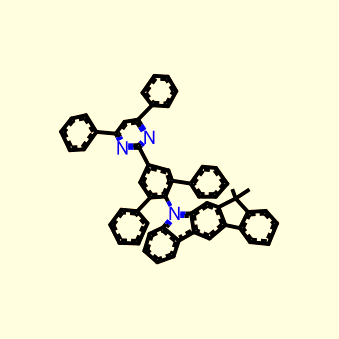 CC1(C)c2ccccc2-c2cc3c4ccccc4n(-c4c(-c5ccccc5)cc(-c5nc(-c6ccccc6)cc(-c6ccccc6)n5)cc4-c4ccccc4)c3cc21